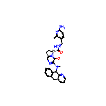 Cc1nc(N)ccc1CNC(=O)[C@@H]1CCc2cnc(N(C)C3c4ccccc4Cc4cccnc43)c(=O)n21